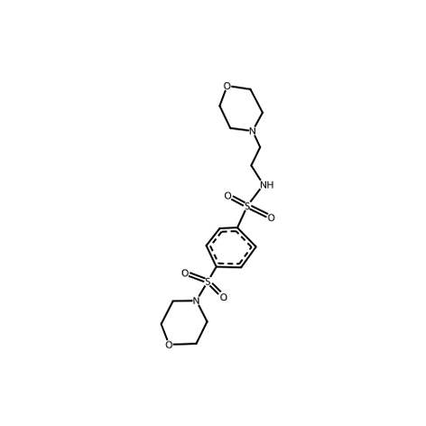 O=S(=O)(NCCN1CCOCC1)c1ccc(S(=O)(=O)N2CCOCC2)cc1